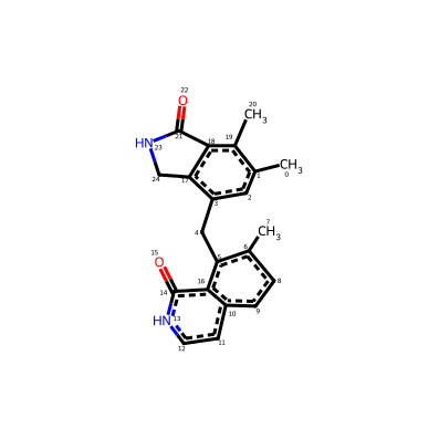 Cc1cc(Cc2c(C)ccc3cc[nH]c(=O)c23)c2c(c1C)C(=O)NC2